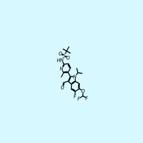 Cc1nc(NS(=O)(=O)C(C)(C)C)ccc1-c1c([C]=O)c2cc(F)c(OC(F)F)cc2n1C(C)C